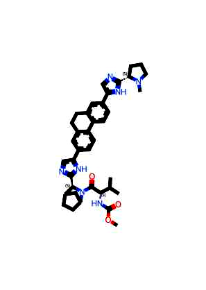 COC(=O)N[C@H](C(=O)N1C2CCC(C2)[C@H]1c1ncc(-c2ccc3c(c2)CCc2cc(-c4cnc([C@@H]5CCCN5C)[nH]4)ccc2-3)[nH]1)C(C)C